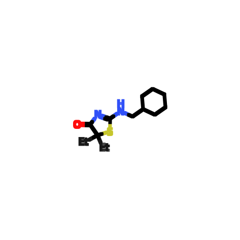 CCC1(CC)SC(NCC2CCCCC2)=NC1=O